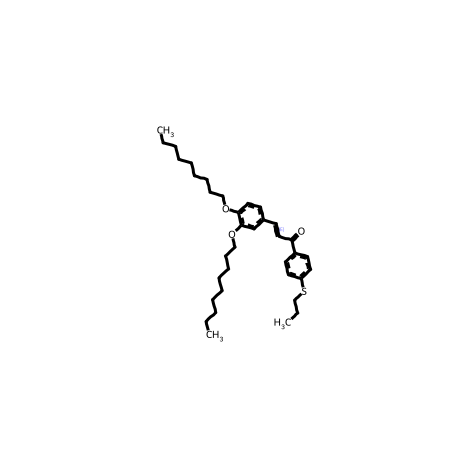 CCCCCCCCCOc1ccc(/C=C/C(=O)c2ccc(SCCC)cc2)cc1OCCCCCCCCC